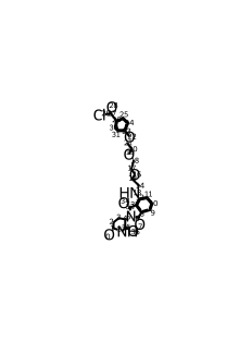 O=C1CCC(N2C(=O)c3cccc(NCCOCCOCCOc4ccc(C(=O)Cl)cc4)c3C2=O)C(=O)N1